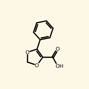 O=C(O)C1=C(c2ccccc2)OCO1